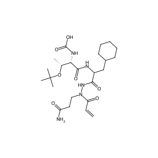 C=CC(=O)N(CCC(N)=O)NC(=O)C(CC1CCCCC1)NC(=O)[C@@H](NC(=O)O)[C@@H](C)OC(C)(C)C